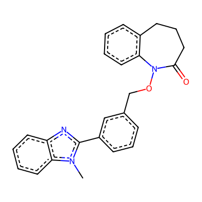 Cn1c(-c2cccc(CON3C(=O)CCCc4ccccc43)c2)nc2ccccc21